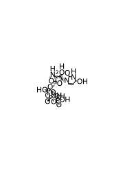 CO[C@]1(COP(=O)(O)OP(=O)(O)OP(=O)(O)O)O[C@@H](N2C=CC(O)NC2=O)[C@H](O)[C@@H]1N